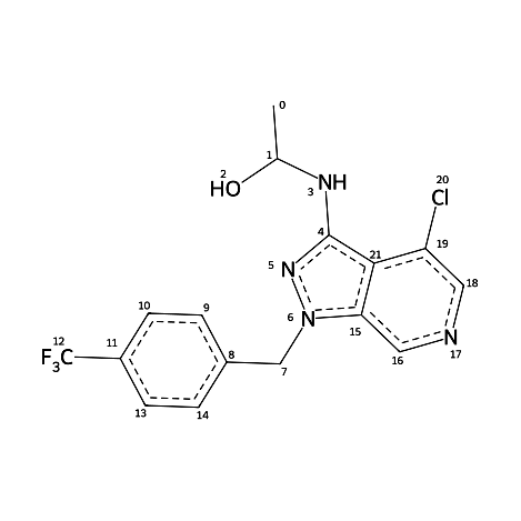 CC(O)Nc1nn(Cc2ccc(C(F)(F)F)cc2)c2cncc(Cl)c12